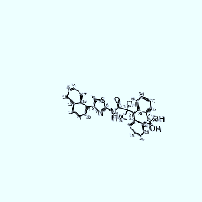 CC(C)(C(=O)Nc1nc(-c2cccc3ccccc23)cs1)C1c2ccccc2S(O)(O)c2ccccc21